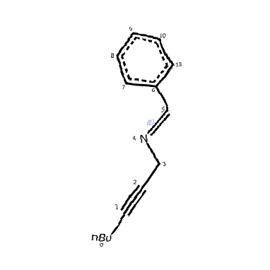 CCCCC#CC/N=C/c1ccccc1